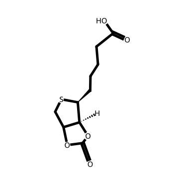 O=C(O)CCCC[C@@H]1SCC2OC(=O)O[C@@H]21